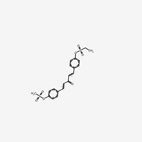 CCS(=O)(=O)Oc1ccc(/C=C/C(=O)/C=C/c2ccc(OS(C)(=O)=O)cc2)cc1